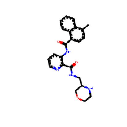 Cc1ccc(C(=O)Nc2cccnc2C(=O)NCC2COCCN2)c2ccccc12